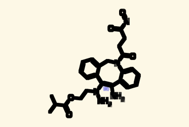 CC(C)C(=O)OCCN(N)/C1=C(\N)c2ccccc2N(C(=O)CCC(=O)N=O)Cc2ccccc21